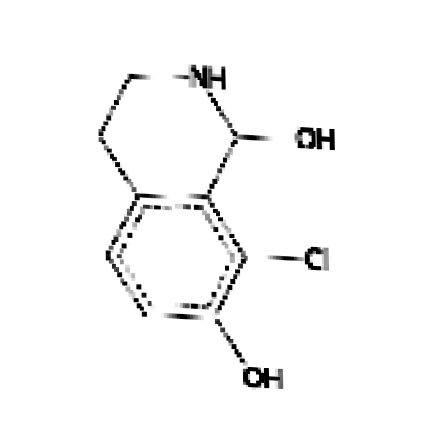 Oc1ccc2c(c1Cl)C(O)NCC2